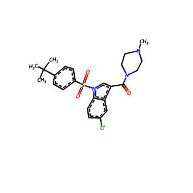 CN1CCN(C(=O)c2cn(S(=O)(=O)c3ccc(C(C)(C)C)cc3)c3ccc(Cl)cc23)CC1